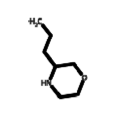 [CH2]CCC1COCCN1